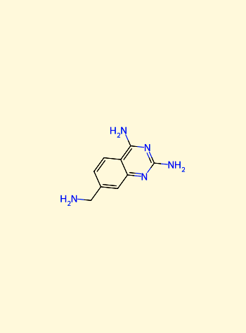 NCc1ccc2c(N)nc(N)nc2c1